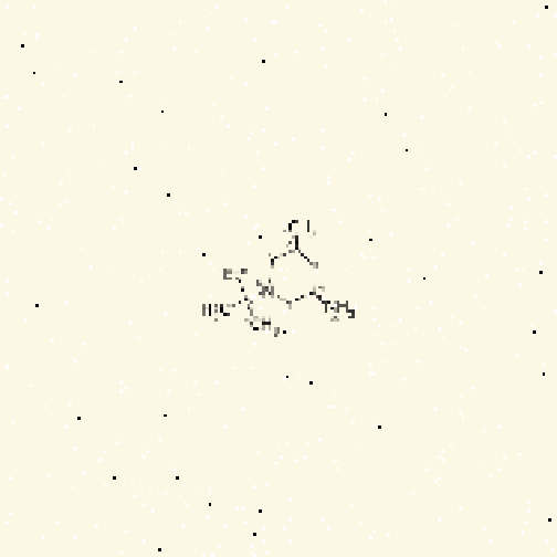 CCC(C)(C)N1C[C@@H](C)C[C@@H](N)C1